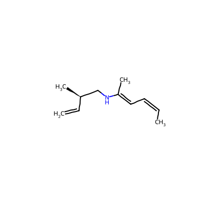 C=C[C@@H](C)CN/C(C)=C/C=C\C